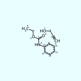 C#CCO.CCOC(=O)Nc1ccccc1